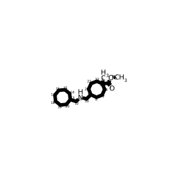 COC(=O)C1(C)CCCC(CNCC2CCCCCCC2)CCC1